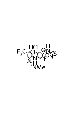 CNCCN(C)c1cc(C(F)(F)F)ccc1Nc1cc(F)c(S(=O)(=O)Nc2cscn2)cc1Cl.Cl